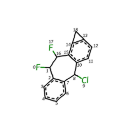 FC1c2ccccc2C(Cl)c2ccc3c(c2C1F)C3